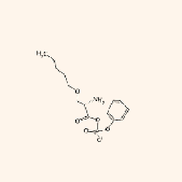 CCCCCOC[C@H](N)C(=O)OP(=O)(Cl)Oc1ccccc1